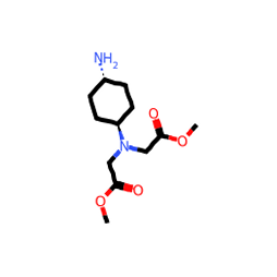 COC(=O)CN(CC(=O)OC)[C@H]1CC[C@H](N)CC1